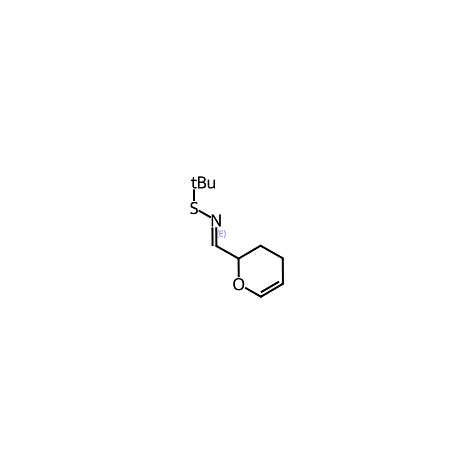 CC(C)(C)S/N=C/C1CCC=CO1